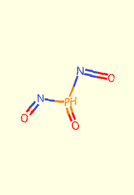 O=N[PH](=O)N=O